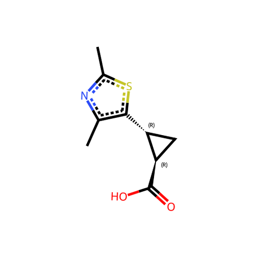 Cc1nc(C)c([C@@H]2C[C@H]2C(=O)O)s1